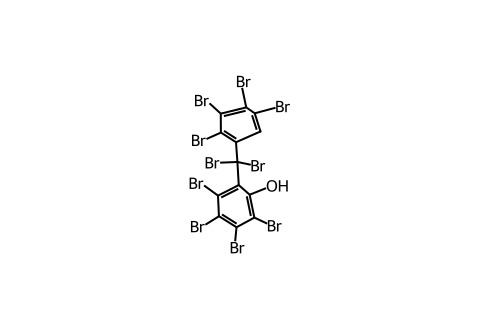 Oc1c(Br)c(Br)c(Br)c(Br)c1C(Br)(Br)c1cc(Br)c(Br)c(Br)c1Br